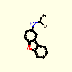 CCCC(CC)Nc1ccc2oc3ccccc3c2c1